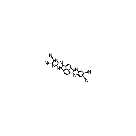 N#Cc1cc2nc3c(nc2cc1C#N)-c1ccc2c4c(ccc-3c14)-c1nc3nc(C#N)c(C#N)nc3nc1-2